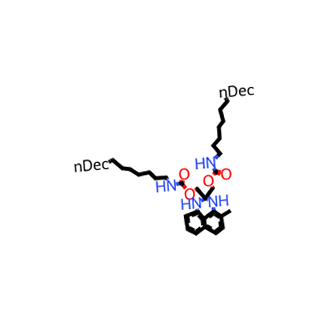 CCCCCCCCCCCCCCCCCNC(=O)OCC1(COC(=O)NCCCCCCCCCCCCCCCCC)Nc2cccc3ccc(C)c(c23)N1